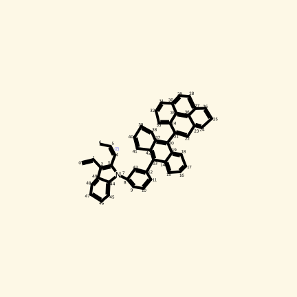 C=Cc1c(/C=C\C)n(-c2cccc(-c3c4ccccc4c(-c4cc5cccc6ccc7cccc4c7c65)c4ccccc34)c2)c2ccccc12